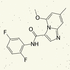 COc1cc(C)cc2ncc(C(=O)Nc3cc(F)ccc3F)n12